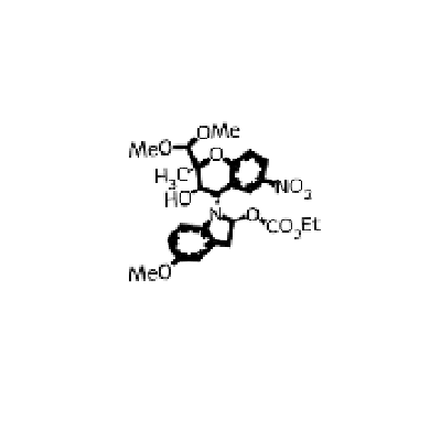 CCOC(=O)O[C@H]1Cc2cc(OC)ccc2N1[C@H]1c2cc([N+](=O)[O-])ccc2O[C@](C)(C(OC)OC)[C@@H]1O